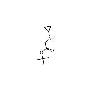 CC(C)(C)OC(=O)CNC1CC1